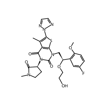 COc1ccc(F)cc1[C@H](Cn1c(=O)n([C@H]2CCN(C)C2=O)c(=O)c2c(C)c(-n3nccn3)sc21)OCCO